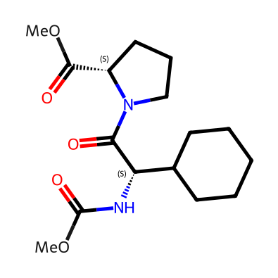 COC(=O)N[C@H](C(=O)N1CCC[C@H]1C(=O)OC)C1CCCCC1